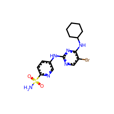 NS(=O)(=O)c1ccc(Nc2ncc(Br)c(NC3CCCCC3)n2)cn1